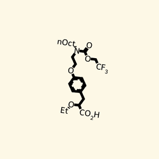 CCCCCCCCN(CCOc1ccc(CC(OCC)C(=O)O)cc1)C(=O)OCC(F)(F)F